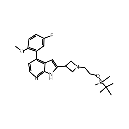 COc1ccc(F)cc1-c1ccnc2[nH]c(C3CN(CCO[Si](C)(C)C(C)(C)C)C3)cc12